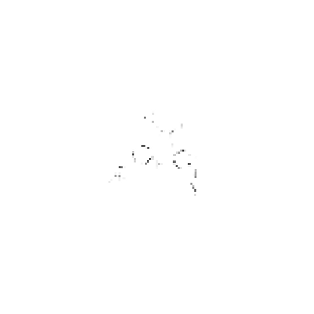 CC(C)=CNc1ccc(N2C(=O)C(C3CC3)C2c2c(F)cc(C3=CC(C)=N3)cc2F)cc1C